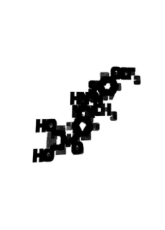 CN1C(Nc2nc3ccc(OC(F)(F)F)cc3s2)=NC2C=C(C(=O)N(CCO)CCO)C=CC21